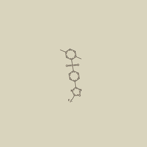 Cc1ccc(C)c(S(=O)(=O)c2ccc(-c3noc(C(F)(F)F)n3)cc2)c1